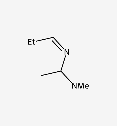 CC/C=N\C(C)NC